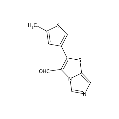 Cc1cc(-c2sc3cncn3c2C=O)cs1